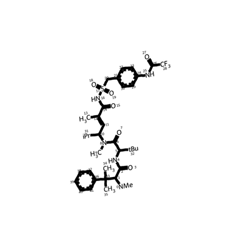 CNC(C(=O)NC(C(=O)N(C)C(/C=C(\C)C(=O)NS(=O)(=O)Cc1ccc(NC(=O)C(F)(F)F)cc1)C(C)C)C(C)(C)C)C(C)(C)c1ccccc1